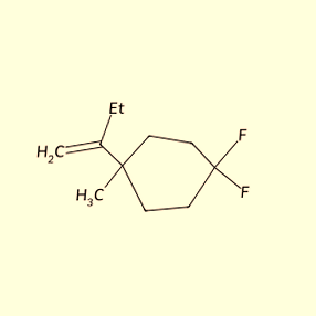 C=C(CC)C1(C)CCC(F)(F)CC1